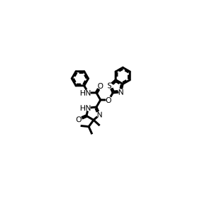 CC(C)C1(C)N=C(C(Oc2nc3ccccc3s2)C(=O)Nc2ccccc2)NC1=O